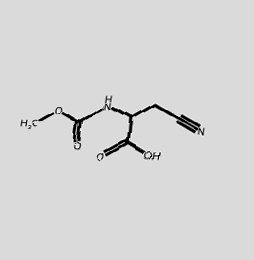 COC(=O)NC(CC#N)C(=O)O